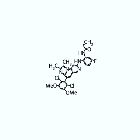 C=CC(=O)Nc1cc(F)ccc1Nc1cc2c(cn1)cc(-c1c(Cl)c(OC)cc(OC)c1Cl)c1nc(C)c(C)n12